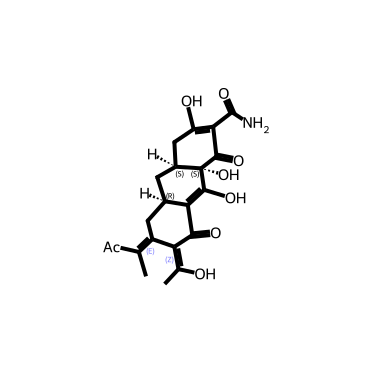 CC(=O)/C(C)=C1\C[C@H]2C[C@H]3CC(O)=C(C(N)=O)C(=O)[C@@]3(O)C(O)=C2C(=O)\C1=C(\C)O